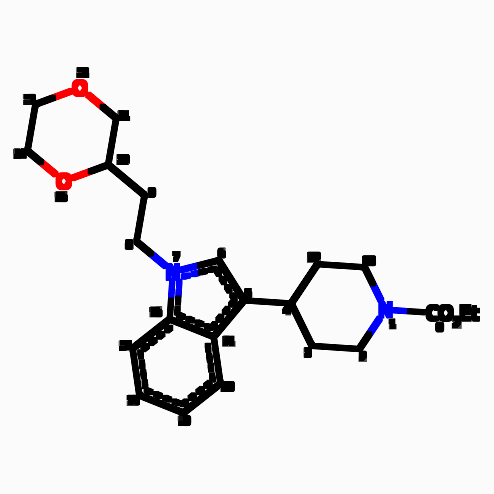 CCOC(=O)N1CCC(c2cn(CCC3COCCO3)c3ccccc23)CC1